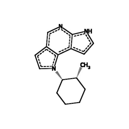 C[C@@H]1CCCC[C@@H]1n1ccc2cnc3[nH]ccc3c21